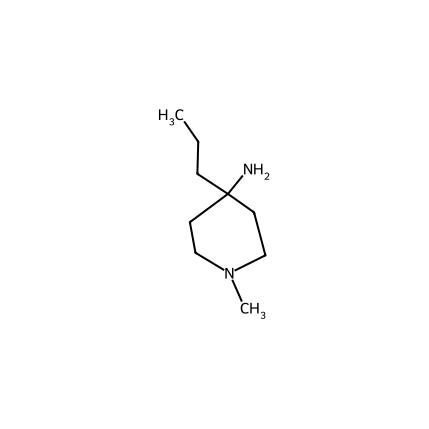 CCCC1(N)CCN(C)CC1